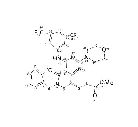 COC(=O)C/C=C/CN(Cc1ccccc1)C(=O)c1cnc(N2CCOCC2)nc1Nc1cc(C(F)(F)F)cc(C(F)(F)F)c1